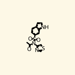 CC(=O)N(c1cscn1)S(=O)(=O)c1ccc2cc[nH]c2c1